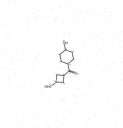 O=[C]N1CC(C(=O)N2CCC(O)CC2)C1